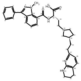 Cn1nc(-c2ccccc2)c2cccc(C(=O)N[C@@H](CCN3CC[C@@H](CCc4ccc5c(n4)NCCC5)C3)C(=O)O)c21